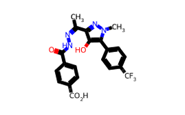 C/C(=N/NC(=O)c1ccc(C(=O)O)cc1)c1nn(C)c(-c2ccc(C(F)(F)F)cc2)c1O